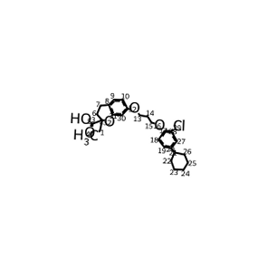 CCC1(C(=O)O)CCc2ccc(OCCCOc3ccc(C4CCCCC4)cc3Cl)cc2O1